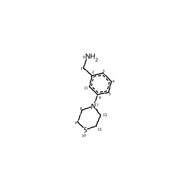 NCc1cccc(N2CCSCC2)c1